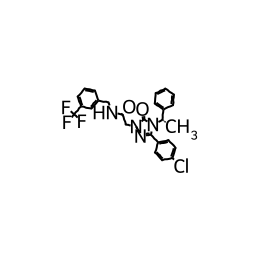 C[C@@H](c1ccccc1)n1c(-c2ccc(Cl)cc2)nn(CC(=O)NCc2cccc(C(F)(F)F)c2)c1=O